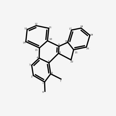 Cc1ccc2c(c1C)c1c(c3ccccc32)-c2ccccc2C1